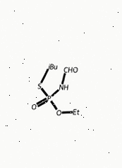 CCOP(=O)(NC=O)SC(C)CC